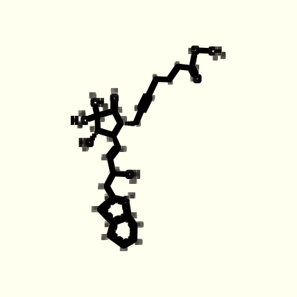 COC(=O)CCCC#CC[C@H]1C(=O)C(C)(C)[C@@H](O)[C@@H]1C=CC(O)Cc1cc2ccccc2s1